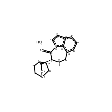 Cl.O=C1[C@H](C2CN3CCC2CC3)NCc2cccc3ccn1c23